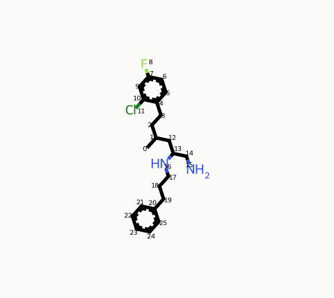 CC(CCc1ccc(F)cc1Cl)CC(CN)NCCCc1ccccc1